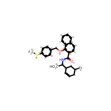 CCC1CC=CC(C(NC(=O)c2ccc3ccccc3c2OCc2ccc(SC(F)(F)F)cc2)C(=O)O)C1